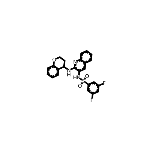 O=S(=O)(Nc1cc2ccccc2nc1NC1CCOc2ccccc21)c1cc(F)cc(F)c1